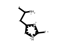 CC(N)Cc1c[nH]c(F)n1